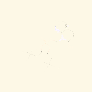 C/C=C1/CCC(O)N(COP(=O)(OCC[Si](C)(C)C)OCC[Si](C)(C)C)/C1=N/C